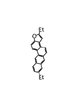 CCc1ccc2cc3c(ccc4c5cc(CC)oc5ccc34)cc2c1